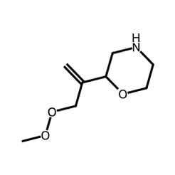 C=C(COOC)C1CNCCO1